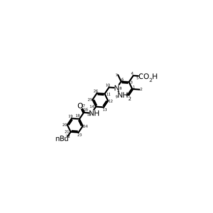 C=C(C)/C(CC(=O)O)=C(/C)N(N)Cc1ccc(NC(=O)c2ccc(CCCC)cc2)cc1